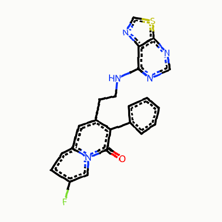 O=c1c(-c2ccccc2)c(CCNc2ncnc3scnc23)cc2ccc(F)cn12